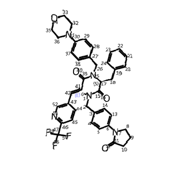 CN(Cc1ccc(N2CCCC2=O)cc1)C(=O)[C@H](Cc1ccccc1)N(Cc1ccc(N2CCOCC2)cc1)C(=O)/C=C/c1ccc(C(F)(F)F)nc1